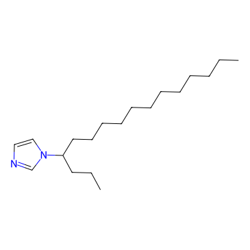 CCCCCCCCCCCCC(CCC)n1ccnc1